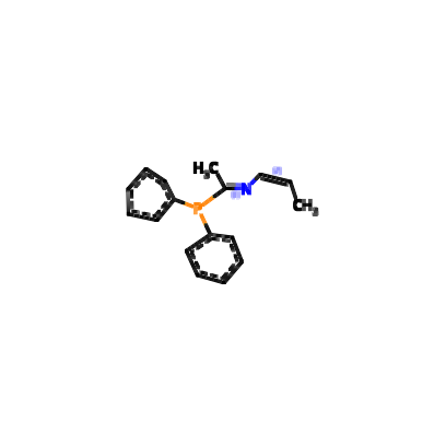 C/C=C\N=C(/C)P(c1ccccc1)c1ccccc1